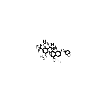 Cc1c(C(C)Nc2nnc(C)c3ccc(O[C@H]4CCOC4)cc23)cc(N)cc1C(F)(F)F